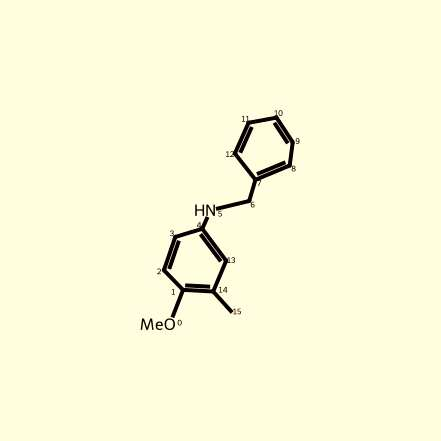 COc1ccc(NCc2ccccc2)cc1C